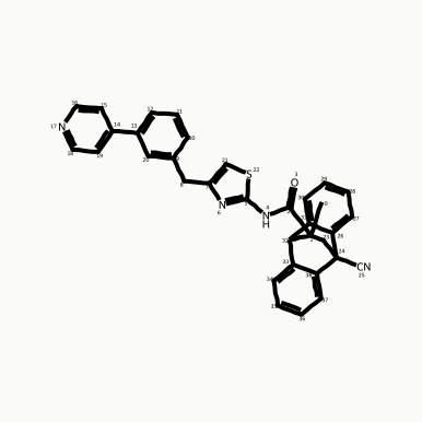 CC1(C(=O)Nc2nc(Cc3cccc(-c4ccncc4)c3)cs2)CC2(C#N)c3ccccc3C1c1ccccc12